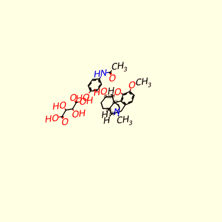 CC(=O)Nc1ccc(O)cc1.COc1ccc2c3c1O[C@H]1[C@@H](O)CC[C@H]4[C@@H](C2)N(C)CC[C@@]341.O=C(O)C(O)C(O)C(=O)O